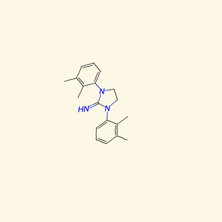 Cc1cccc(N2CCN(c3cccc(C)c3C)C2=N)c1C